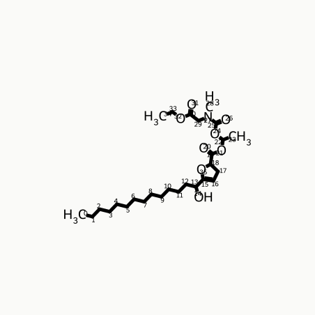 CCCCCCCCCCCCCC(O)C1=CCC(C(=O)OC(C)OC(=O)N(C)CC(=O)OCC)O1